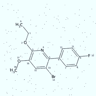 CCOc1nc(-c2ccc(F)cc2)c(Br)cc1OC